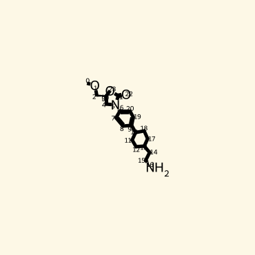 COC[C@@H]1CN(c2ccc(C3CCC(CCN)CC3)cc2)C(=O)O1